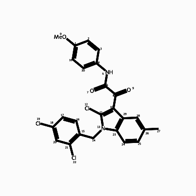 COc1ccc(NC(=O)C(=O)c2c(Cl)n(Cc3ccc(Cl)cc3Cl)c3ccc(C)cc23)cc1